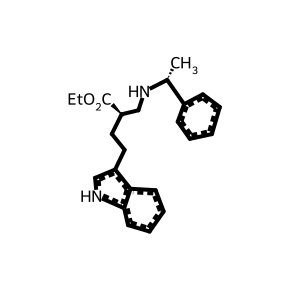 CCOC(=O)[C@H](CCc1c[nH]c2ccccc12)CN[C@H](C)c1ccccc1